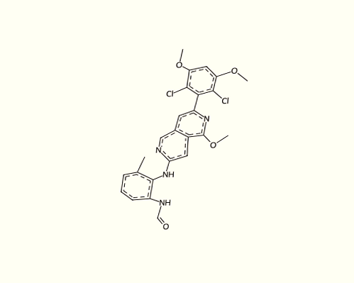 COc1cc(OC)c(Cl)c(-c2cc3cnc(Nc4c(C)cccc4NC=O)cc3c(OC)n2)c1Cl